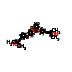 CCC(O)(C#Cc1ccc(Oc2ccccc2S(=O)(=O)c2ccc(Oc3cccc(C#CC(O)(CC)CC)c3)cc2)cc1)CC